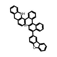 Brc1cc(-c2ccc3oc4ccccc4c3c2)c2ccccc2c1-c1ccccc1-c1cccc2c1Nc1ccccc1C2